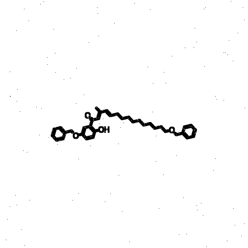 CC(C=CCCCCCCCCCCOCc1ccccc1)=CC(=O)c1cc(OCc2ccccc2)ccc1O